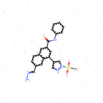 CS(=O)(=O)n1cc(-c2cc(C(=O)Nc3ccccc3)cc3ccc(C=NN)cc23)cn1